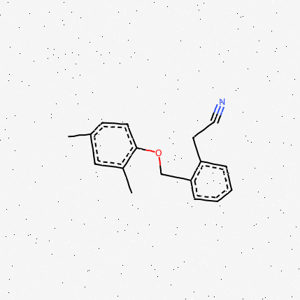 Cc1ccc(OCc2ccccc2CC#N)c(C)c1